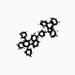 c1ccc(-c2c3c(c(-c4ccccc4)c4ccccc24)-c2ccc(-c4ccc(-n5c6ncccc6c6c7ccccc7c7ccccc7c65)cc4)c4cccc-3c24)cc1